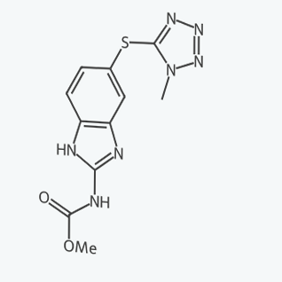 COC(=O)Nc1nc2cc(Sc3nnnn3C)ccc2[nH]1